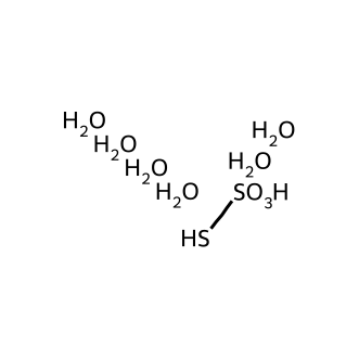 O.O.O.O.O.O.O=S(=O)(O)S